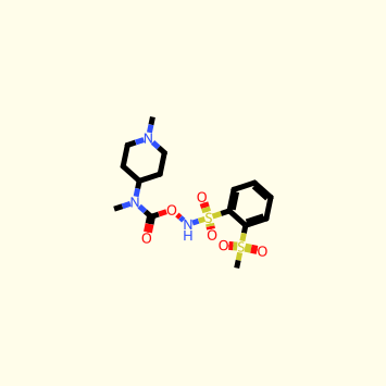 CN1CCC(N(C)C(=O)ONS(=O)(=O)c2ccccc2S(C)(=O)=O)CC1